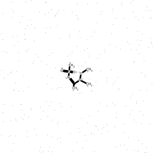 CON(C)/C(C)=N\S(C)(=O)=O